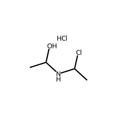 CC(O)NC(C)Cl.Cl